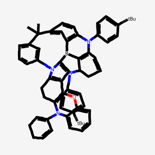 CC(C)(C)c1ccc(N2C3=C4B5c6cc(ccc62)C(C)(C)c2cccc(c2)-n2c6c(c(c25)N(c2ccc(C(C)(C)C)cc2)C4CC=C3)C2=C(CC6)N(C3=CCCC=C3)c3ccccc3O2)cc1